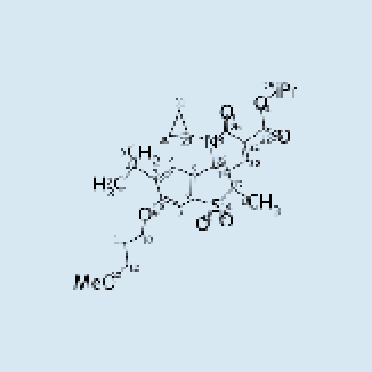 C=C(C)c1cc2c(cc1OCCCOC)S(=O)(=O)C(C)c1cc(C(=O)OC(C)C)c(=O)n(C3CC3)c1-2